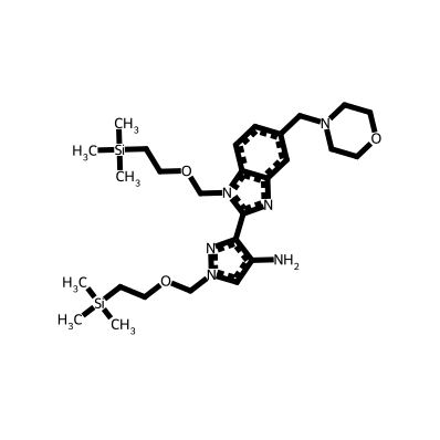 C[Si](C)(C)CCOCn1cc(N)c(-c2nc3cc(CN4CCOCC4)ccc3n2COCC[Si](C)(C)C)n1